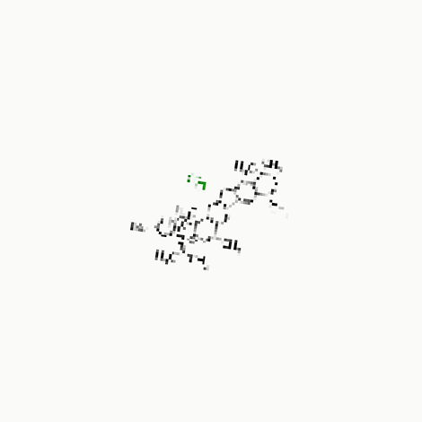 CCC1C=C(C(C)(C)C)C=[C]1[Zr+2](=[C](C)C)[CH]1C=C(C)c2cc3c(cc2C1(C)C)Cc1cc2c(cc1-3)C(C)=CCC2(C)C.[Cl-].[Cl-]